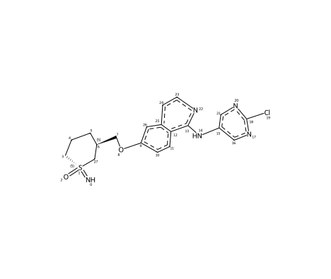 N=[S@]1(=O)CCC[C@@H](COc2ccc3c(Nc4cnc(Cl)nc4)nccc3c2)C1